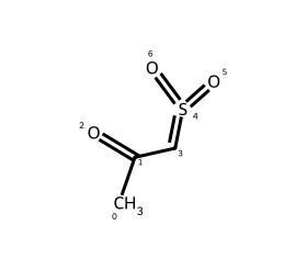 CC(=O)C=S(=O)=O